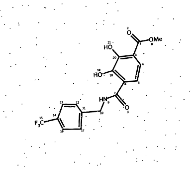 COC(=O)c1ccc(C(=O)NCc2ccc(C(F)(F)F)cc2)c(O)c1O